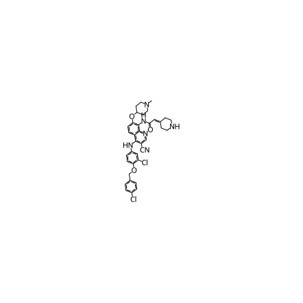 CN1CCC(Oc2ccc3c(Nc4ccc(OCc5ccc(Cl)cc5)c(Cl)c4)c(C#N)cnc3c2NC(=O)C=C2CCNCC2)CC1